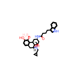 BOc1c(O)ccc2c1[C@]13CCN(CC4CC4)[C@H](C2)[C@]1(O)CC[C@H](NC(=O)CCCc1c[nH]c2ccccc12)C3